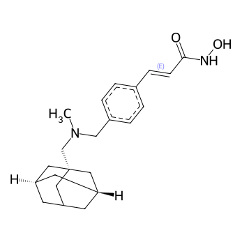 CN(Cc1ccc(/C=C/C(=O)NO)cc1)C[C@]12CC3C[C@H](C[C@@H](C3)C1)C2